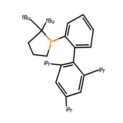 CC(C)c1cc(C(C)C)c(-c2ccccc2P2CCCC2(C(C)(C)C)C(C)(C)C)c(C(C)C)c1